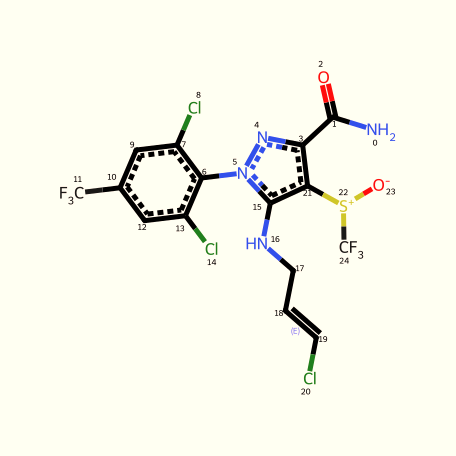 NC(=O)c1nn(-c2c(Cl)cc(C(F)(F)F)cc2Cl)c(NC/C=C/Cl)c1[S+]([O-])C(F)(F)F